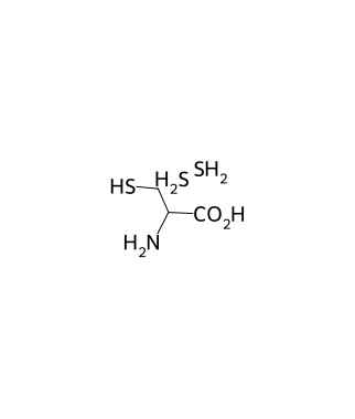 NC(CS)C(=O)O.S.S